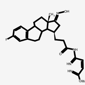 COC(=N)/C=C\C(=N)NC(=O)CC[C@@H]1C/C(=N\O)[C@@]2(C)CCC3c4ccc(F)cc4CCC3C12